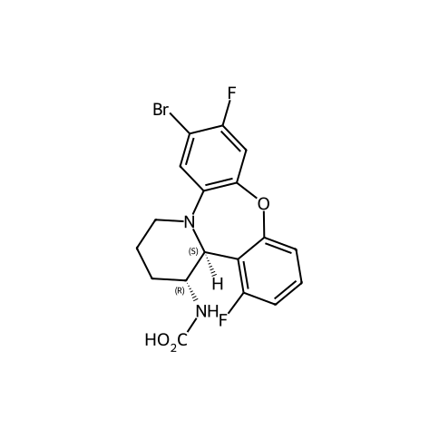 O=C(O)N[C@@H]1CCCN2c3cc(Br)c(F)cc3Oc3cccc(F)c3[C@@H]12